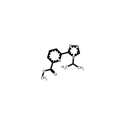 COC(=O)c1cccc(-c2nncn2C(C)C)n1